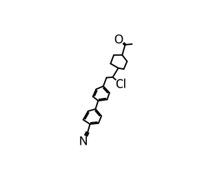 CC(=O)C1CCC(C(Cl)Cc2ccc(-c3ccc(C#N)cc3)cc2)CC1